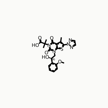 COc1ccccc1[C@@H](O)Cn1c(=O)n(C(C)(C)C(=O)O)c(=O)c2c(C)c(-n3nccn3)sc21